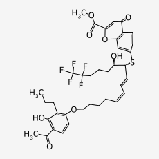 CCCc1c(OCCCC/C=C\C=C\[C@H](Sc2ccc3c(=O)cc(C(=O)OC)oc3c2)[C@H](O)CCCC(F)(F)C(F)(F)F)ccc(C(C)=O)c1O